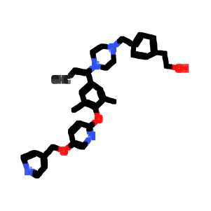 Cc1cc(/C(=C\C=O)N2CCN(Cc3ccc(CCO)cc3)CC2)cc(C)c1Oc1ccc(OCc2ccncc2)cn1